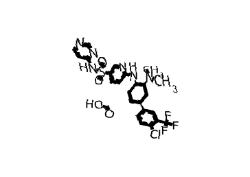 CN(C)[C@H]1C[C@@H](c2ccc(Cl)c(C(F)(F)F)c2)CC[C@@H]1Nc1ccc(S(=O)(=O)Nc2ccncn2)cn1.O=CO